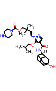 CC(C)COc1c(C(=O)N[C@H]2C3CC4CC2C[C@](O)(C4)C3)cnn1/C=C/C(C)(C)COC(=O)N1CCNCC1